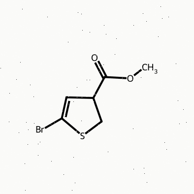 COC(=O)C1C=C(Br)SC1